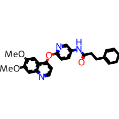 COc1cc2nccc(Oc3ccc(NC(=O)CCC4=CCCC=C4)cn3)c2cc1OC